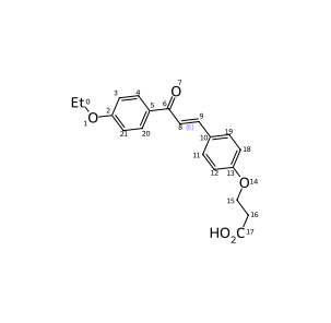 CCOc1ccc(C(=O)/C=C/c2ccc(OCCC(=O)O)cc2)cc1